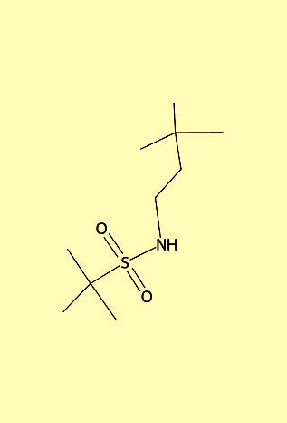 CC(C)(C)CCNS(=O)(=O)C(C)(C)C